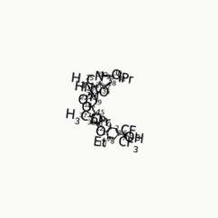 CCCc1cc(C(O)(C(F)(F)F)C(F)(F)F)cc(CC)c1Oc1ccc(C(=O)CN2C(=O)NC(C)(c3ccc(OC(C)C)cn3)C2=O)c(C)c1